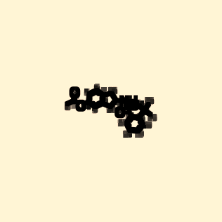 CC(=O)Oc1ccc2c(c1)CC(NS(=O)(=O)c1ccccc1C(C)(C)C)C2